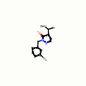 CCC(C=O)c1ccnn(Cc2cccc(Cl)c2)c1=O